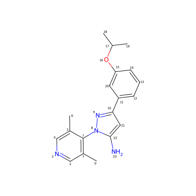 Cc1cncc(C)c1-n1nc(-c2cccc(OC(C)C)c2)cc1N